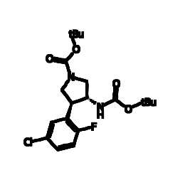 CC(C)(C)OC(=O)N[C@H]1CN(C(=O)OC(C)(C)C)C[C@@H]1c1cc(Cl)ccc1F